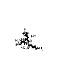 CC(C)CC(N)C(=O)NC(Cc1c[nH]cn1)C(=O)NC(CCCCN)C(=O)O.[Mn]